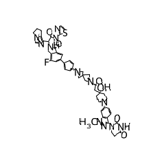 Cn1nc(N2CCC(=O)NC2=O)c2ccc(N3CCC(O)(CC(=O)N4CC5(C4)CN(c4ccc(-c6cc(F)c7c(c6)C(=O)N(C(C(=O)Nc6nccs6)c6ncn8c6CCC8)C7)cc4)C5)CC3)cc21